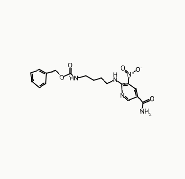 NC(=O)c1cnc(NCCCCNC(=O)OCc2ccccc2)c([N+](=O)[O-])c1